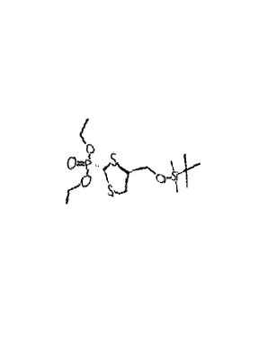 CCOP(=O)(OCC)[C@H]1SC[C@H](CO[Si](C)(C)C(C)(C)C)S1